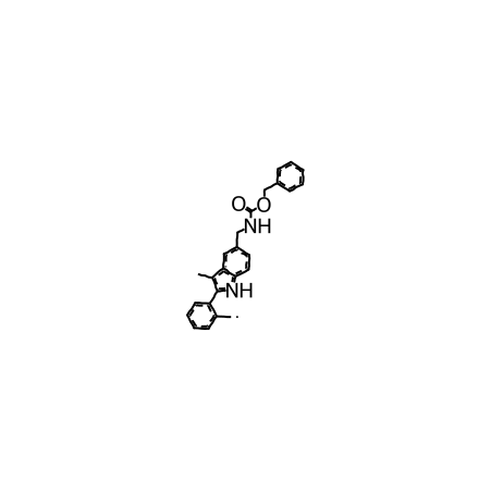 [CH2]c1ccccc1-c1[nH]c2ccc(CNC(=O)OCc3ccccc3)cc2c1C